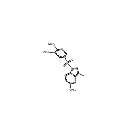 COc1ccc2c(c1)c(C)cn2S(=O)(=O)c1ccc(OC)c(NC(C)=O)c1